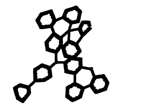 c1ccc(-c2ccc(N(c3ccc4c(c3)-c3ccccc3-c3ccccc3O4)c3ccc4c(c3)C3(c5ccccc5-c5ccccc5-4)c4ccccc4-c4ccccc43)cc2)cc1